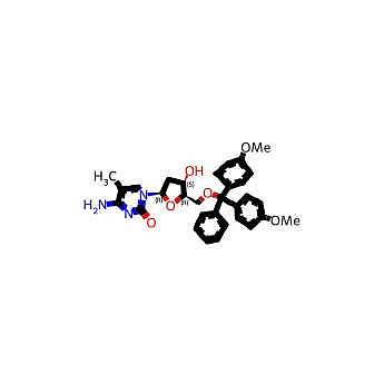 COc1ccc(C(OC[C@H]2O[C@@H](n3cc(C)c(N)nc3=O)C[C@@H]2O)(c2ccccc2)c2ccc(OC)cc2)cc1